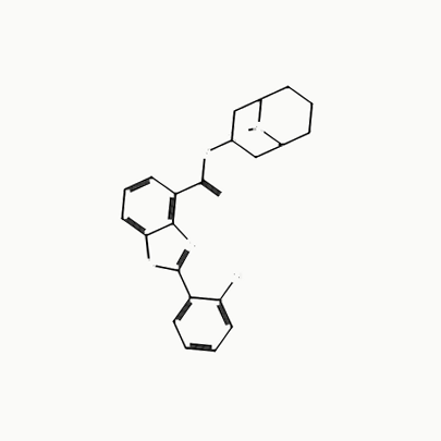 CN1C2CCCC1CC(NC(=O)c1cccc3oc(-c4ccccc4N)nc13)C2